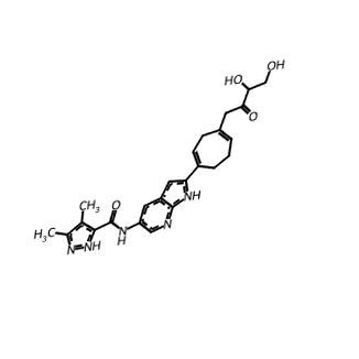 Cc1n[nH]c(C(=O)Nc2cnc3[nH]c(C4=CCC(CC(=O)C(O)CO)=CCC4)cc3c2)c1C